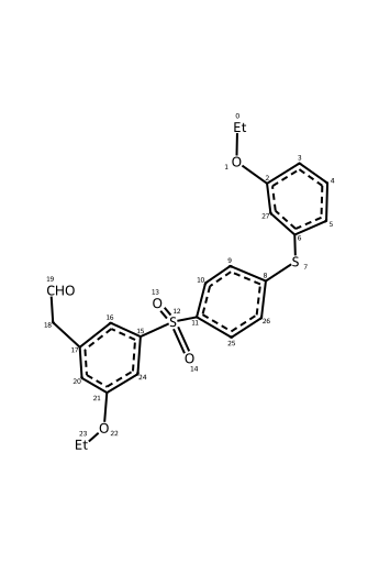 CCOc1cccc(Sc2ccc(S(=O)(=O)c3cc(CC=O)cc(OCC)c3)cc2)c1